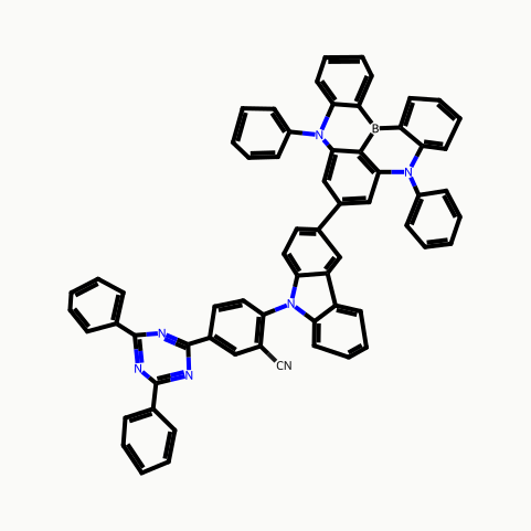 N#Cc1cc(-c2nc(-c3ccccc3)nc(-c3ccccc3)n2)ccc1-n1c2ccccc2c2cc(-c3cc4c5c(c3)N(c3ccccc3)c3ccccc3B5c3ccccc3N4c3ccccc3)ccc21